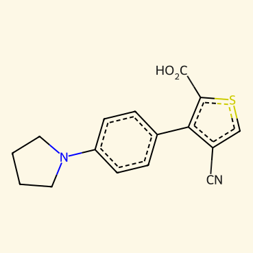 N#Cc1csc(C(=O)O)c1-c1ccc(N2CCCC2)cc1